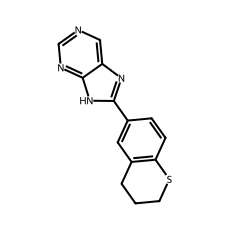 c1ncc2nc(-c3ccc4c(c3)CCCS4)[nH]c2n1